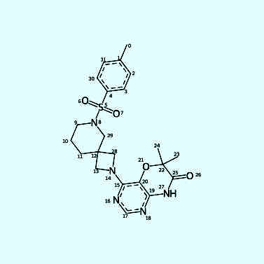 Cc1ccc(S(=O)(=O)N2CCCC3(CN(c4ncnc5c4OC(C)(C)C(=O)N5)C3)C2)cc1